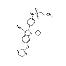 CCCS(=O)(=O)Nc1ccc(-c2c(C#N)c3ccc(Oc4cnccn4)cc3n2C2CCC2)cc1